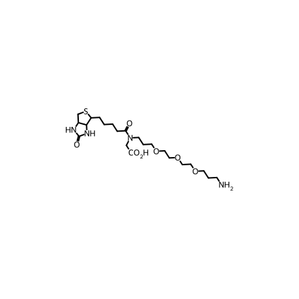 NCCCOCCOCCOCCCN(CC(=O)O)C(=O)CCCCC1SCC2NC(=O)NC21